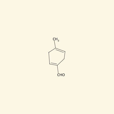 CC1=CCC(C=O)=CC1